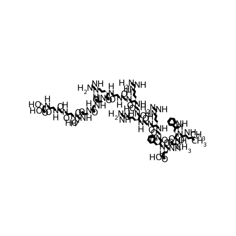 CC(C)C[C@H](N)C(=O)N[C@@H](Cc1c[nH]c2ccccc12)C(=O)N[C@@H](C)C(=O)N[C@@H](CCC(=O)O)C(=O)N[C@@H](Cc1ccccc1)C(=O)NCC(=O)N[C@@H](CCCNC(=N)N)C(=O)NCC(=O)N[C@@H](CCCNC(=N)N)C(=O)NCC(=O)N[C@@H](CCCNC(=N)N)C(=O)NCC(=O)NCC(=O)N[C@@H](CCCNC(=N)N)C(=O)NCC(=O)NCC(=O)NCC(=O)N[C@@H](CO)C(=O)NCC(=O)NCC(=O)NCC(=O)N[C@@H](CO)C(=O)O